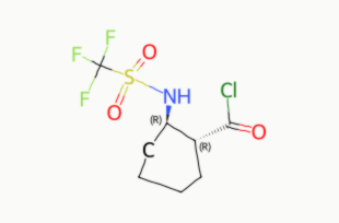 O=C(Cl)[C@@H]1CCCC[C@H]1NS(=O)(=O)C(F)(F)F